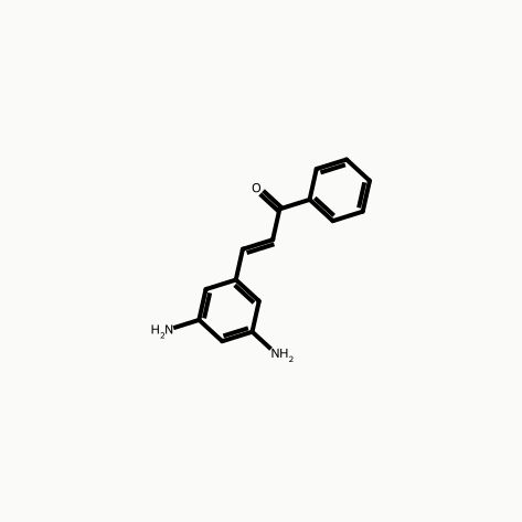 Nc1cc(N)cc(C=CC(=O)c2ccccc2)c1